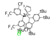 CC(C)(C)c1cc2c(cc1C(C)(C)C)[CH]([Zr+2]([C]1=CC=CC1)=[C](c1cc(C(F)(F)F)cc(C(F)(F)F)c1)c1cc(C(F)(F)F)cc(C(F)(F)F)c1)c1cc(C(C)(C)C)c(C(C)(C)C)cc1-2.[Cl-].[Cl-]